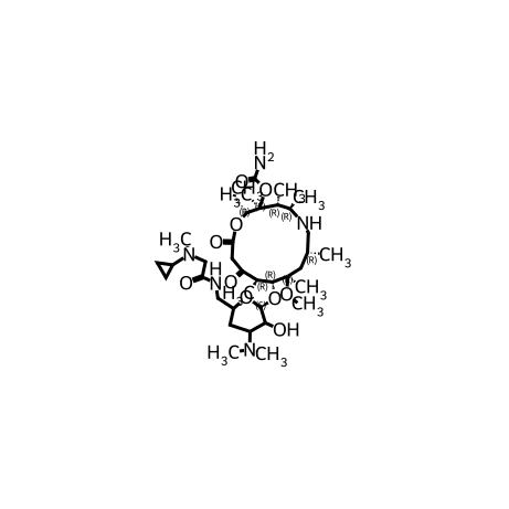 CC[C@H]1OC(=O)CC(=O)[C@H](C)[C@@H](O[C@@H]2OC(CNC(=O)CN(C)C3CC3)CC(N(C)C)C2O)[C@](C)(OC)C[C@@H](C)CN[C@H](C)[C@@H](C)[C@]1(C)OC(N)=O